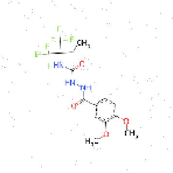 CCC(NC(=O)NNC(=O)c1ccc(OC)c(OC)c1)(C(F)(F)F)C(F)(F)F